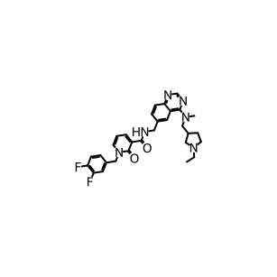 CCN1CCC(CN(C)c2ncnc3ccc(CNC(=O)c4cccn(Cc5ccc(F)c(F)c5)c4=O)cc23)C1